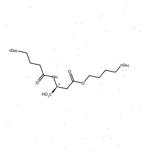 CCCCCCCCCCCCCCOC(=O)C[C@H](NC(=O)CCCCCCCCCCCCC)C(=O)O